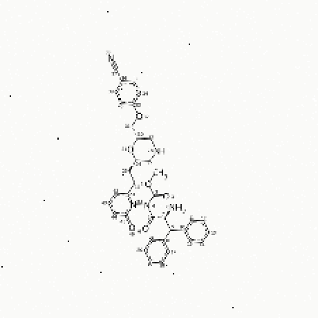 COC(=O)N(C(=O)[C@@H](N)C(c1ccccc1)c1ccccc1)n1c(CC[C@@H]2CNC[C@@H](COc3ccc(C#N)cc3)O2)cccc1=O